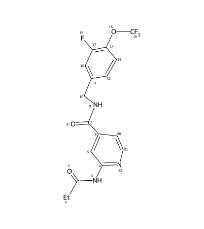 CCC(=O)Nc1cc(C(=O)NCc2ccc(OC(F)(F)F)c(F)c2)ccn1